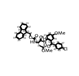 COC(=O)C[C@H](NC(=O)OCC1c2ccccc2-c2ccccc21)C(=O)Nc1ccc(OC)cc1C(=O)c1ccc(Cl)cc1